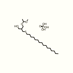 CCCCCCCCCCCCCCCCSCC(CO)COC(C)OC.O=P(O)(O)O